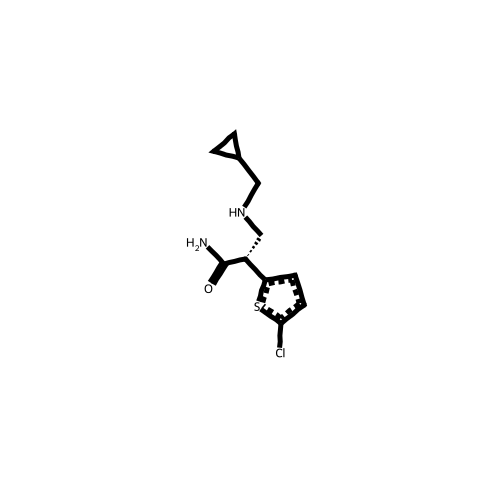 NC(=O)[C@H](CNCC1CC1)c1ccc(Cl)s1